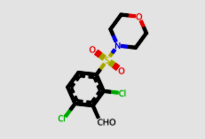 O=Cc1c(Cl)ccc(S(=O)(=O)N2CCOCC2)c1Cl